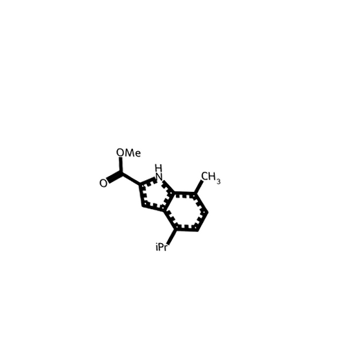 COC(=O)c1cc2c(C(C)C)ccc(C)c2[nH]1